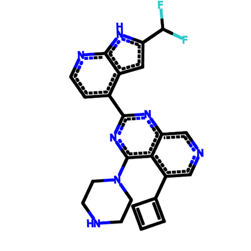 FC(F)c1cc2c(-c3nc(N4CCNCC4)c4c(C5=CC=C5)cncc4n3)ccnc2[nH]1